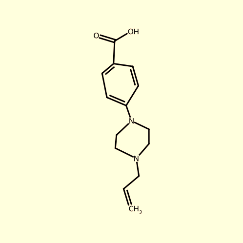 C=CCN1CCN(c2ccc(C(=O)O)cc2)CC1